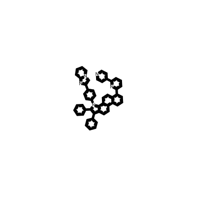 c1ccc(-c2c(-c3ccccc3)n(-c3ccc(-c4cn5ccccc5n4)cc3)c3c2ccc2c4cccc(-c5cccc(-c6ccncc6)n5)c4ccc23)cc1